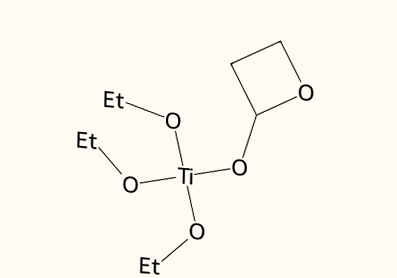 CC[O][Ti]([O]CC)([O]CC)[O]C1CCO1